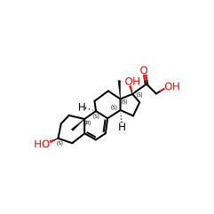 C[C@]12CC[C@H](O)CC1=CC=C1[C@@H]2CC[C@@]2(C)[C@H]1CC[C@@]2(O)C(=O)CO